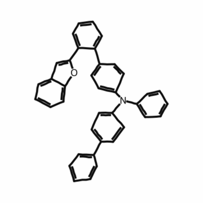 c1ccc(-c2ccc(N(c3ccccc3)c3ccc(-c4ccccc4-c4cc5ccccc5o4)cc3)cc2)cc1